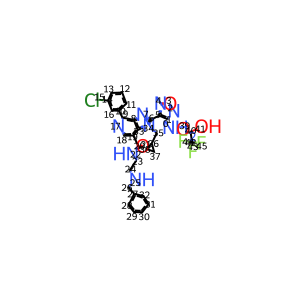 Nc1nonc1-c1nc2c(-c3cccc(Cl)c3)ncc(C(=O)NCCNCc3ccccc3)c2n1CC1CC1.O=C(O)C(F)(F)F